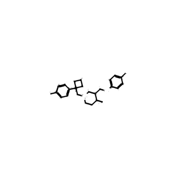 Cc1ccc(OCC2CN(CC3(c4ccc(C)cc4)CCC3)CCC2C)cc1